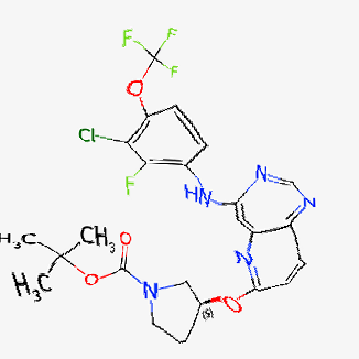 CC(C)(C)OC(=O)N1CC[C@H](Oc2ccc3ncnc(Nc4ccc(OC(F)(F)F)c(Cl)c4F)c3n2)C1